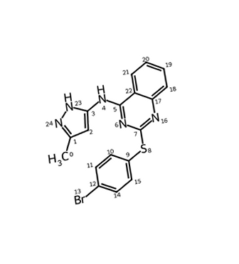 Cc1cc(Nc2nc(Sc3ccc(Br)cc3)nc3ccccc23)[nH]n1